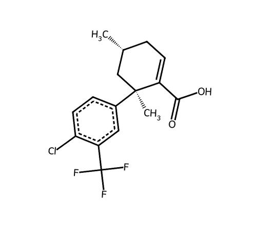 C[C@@H]1CC=C(C(=O)O)[C@@](C)(c2ccc(Cl)c(C(F)(F)F)c2)C1